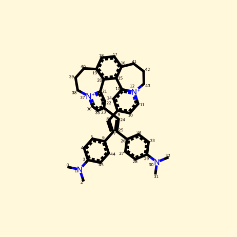 CN(C)c1ccc(/C=C/c2cc[n+]3c(c2)-c2c(ccc4c2-c2cc(/C=C/c5ccc(N(C)C)cc5)cc[n+]2CCC4)CCC3)cc1